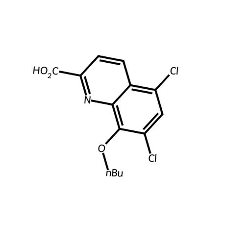 CCCCOc1c(Cl)cc(Cl)c2ccc(C(=O)O)nc12